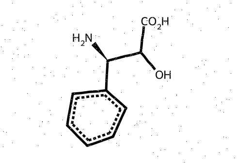 N[C@H](c1ccccc1)C(O)C(=O)O